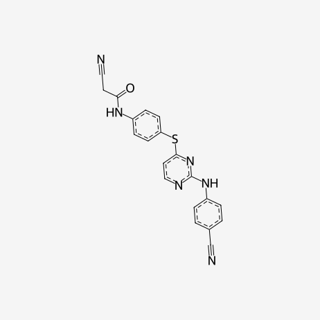 N#CCC(=O)Nc1ccc(Sc2ccnc(Nc3ccc(C#N)cc3)n2)cc1